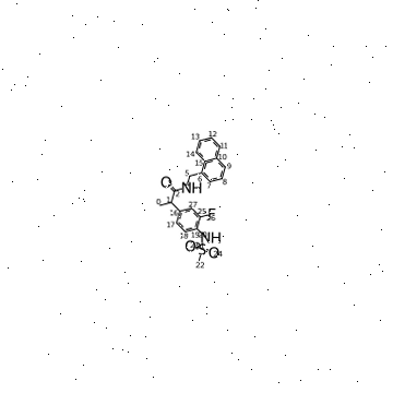 CC(C(=O)NCc1cccc2ccccc12)c1ccc(NS(C)(=O)=O)c(F)c1